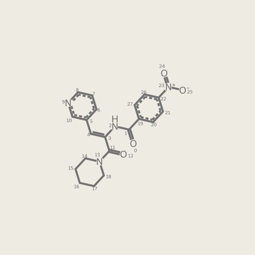 O=C(N/C(=C\c1cccnc1)C(=O)N1CCCCC1)c1ccc([N+](=O)[O-])cc1